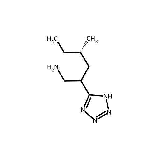 CC[C@H](C)CC(CN)c1nnn[nH]1